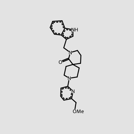 COCc1cccc(N2CCC3(CCCN(Cc4c[nH]c5ccccc45)C3=O)CC2)n1